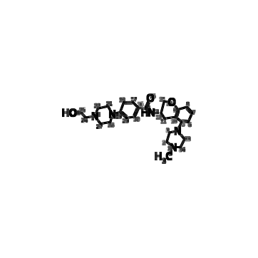 CN1CCN(c2cccc3c2C[C@H](NC(=O)c2ccc(N4CCN(CCO)CC4)cc2)CO3)CC1